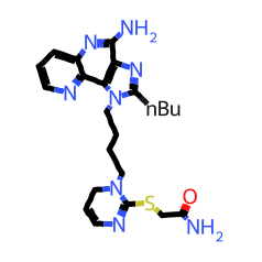 CCCCc1nc2c(N)nc3cccnc3c2n1CCCCN1CC=CN=C1SCC(N)=O